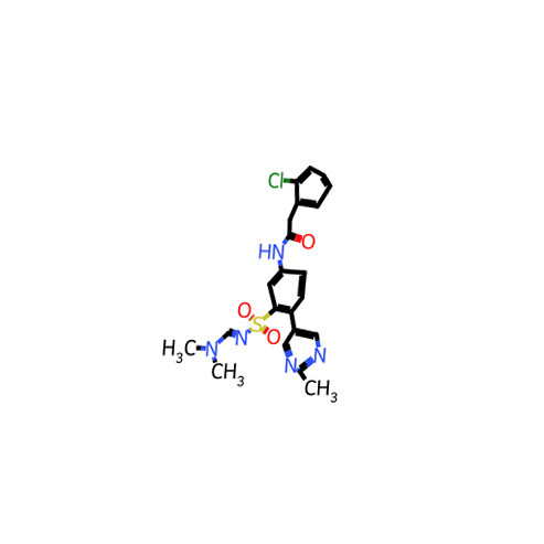 Cc1ncc(-c2ccc(NC(=O)Cc3ccccc3Cl)cc2S(=O)(=O)/N=C/N(C)C)cn1